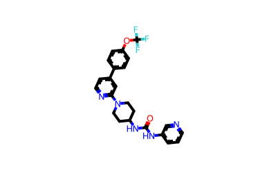 O=C(Nc1cccnc1)NC1CCN(c2cc(-c3ccc(OC(F)(F)F)cc3)ccn2)CC1